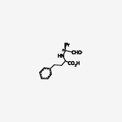 CC(C)[C@@H]([C]=O)NC(CCc1ccccc1)C(=O)O